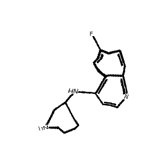 Fc1ccc2nccc(NC3CCNC3)c2c1